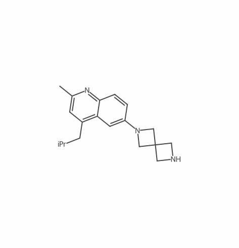 Cc1cc(CC(C)C)c2cc(N3CC4(CNC4)C3)ccc2n1